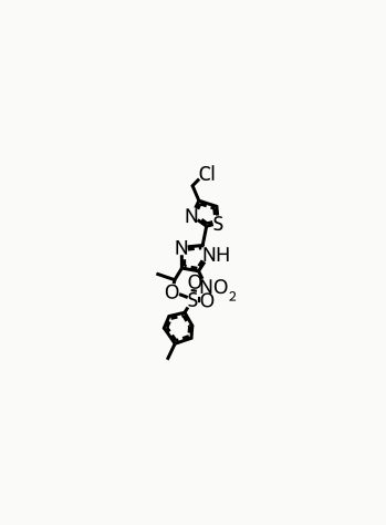 Cc1ccc(S(=O)(=O)OC(C)c2nc(-c3nc(CCl)cs3)[nH]c2[N+](=O)[O-])cc1